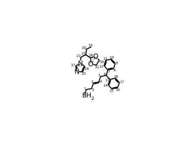 BCCC=CCC(c1ccccc1)c1ccccc1.CCC(Cn1ccnc1)C1OCCO1